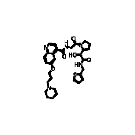 O=C(NCC(=O)N1CCCC1C(O)C(=O)NCc1cccs1)c1ccnc2ccc(OCCCN3CCCCC3)cc12